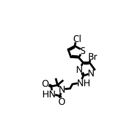 CC1(C)C(=O)NC(=O)N1CCNc1ncc(Br)c(-c2ccc(Cl)s2)n1